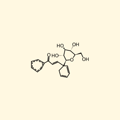 O=C(C=CC1([C@@H]2O[C@H](CO)[C@@H](O)[C@H](O)[C@H]2O)C=CC=CC1)c1ccccc1